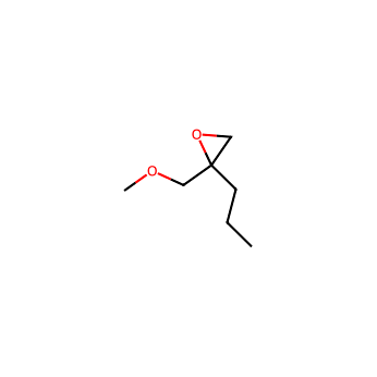 CCCC1(COC)CO1